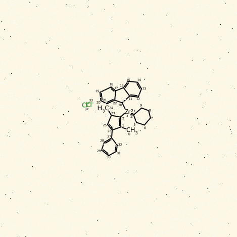 CC1=[C]([Zr+2](=[C]2CCCCC2)[CH]2c3ccccc3-c3ccccc32)C(C)C=C1c1ccccc1.[Cl-].[Cl-]